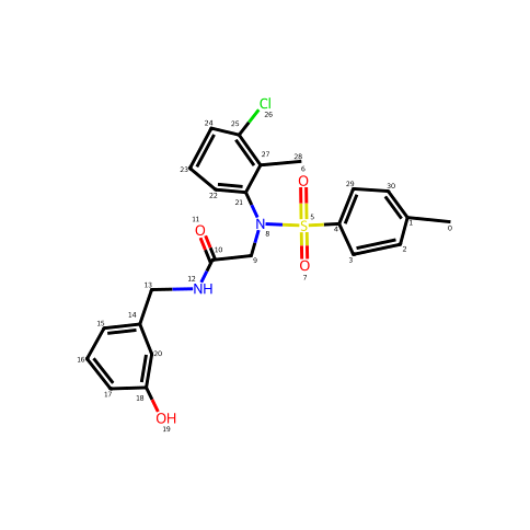 Cc1ccc(S(=O)(=O)N(CC(=O)NCc2cccc(O)c2)c2cccc(Cl)c2C)cc1